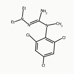 CCN(CC)N=C(N)N(C)c1c(Cl)cc(Cl)cc1Cl